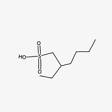 CCCCC(CC)CS(=O)(=O)O